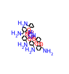 NCc1ccccc1Oc1cccc(Op2npn(Oc3ccccc3CN)p(Oc3ccccc3CN)n2Oc2ccccc2CN)c1Oc1ccccc1CN